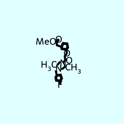 COC(=O)Cc1cccc(OCC(=O)N2CC(C)N(Cc3ccc(F)cc3)CC2C)c1